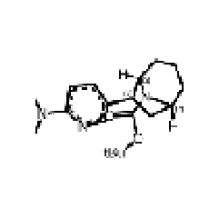 CN(C)c1ccc([C@@H]2C[C@H]3CCC[C@@H]2N3C(=O)OC(C)(C)C)cn1